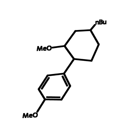 CCCCC1CCC(c2ccc(OC)cc2)C(OC)C1